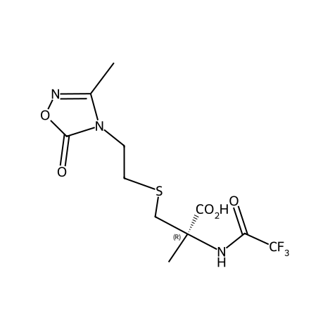 Cc1noc(=O)n1CCSC[C@](C)(NC(=O)C(F)(F)F)C(=O)O